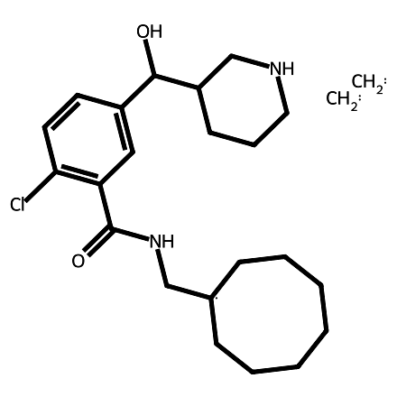 O=C(NC[C]1CCCCCCC1)c1cc(C(O)C2CCCNC2)ccc1Cl.[CH2].[CH2]